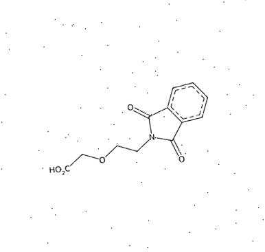 O=C(O)COCCN1C(=O)c2ccccc2C1=O